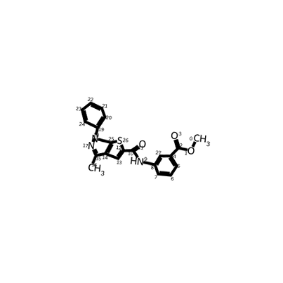 COC(=O)c1cccc(NC(=O)c2cc3c(C)nn(-c4ccccc4)c3s2)c1